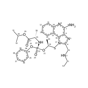 CCNCc1nc2c(N)nc3ccccc3c2n1C[C@H](C)O[P@@](=O)(N[C@@H](C)C(=O)OC(C)C)Oc1ccccc1